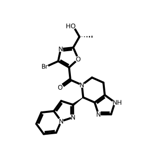 C[C@@H](O)c1nc(Br)c(C(=O)N2CCc3[nH]cnc3[C@H]2c2cc3ccccn3n2)o1